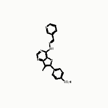 Cc1c(-c2ccc(C(=O)O)cc2)sc2c(NN=Cc3cccnc3)ncnc12